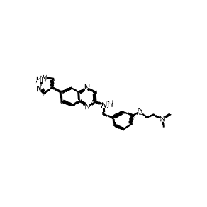 CN(C)CCOc1cccc(CNc2cnc3cc(-c4cn[nH]c4)ccc3n2)c1